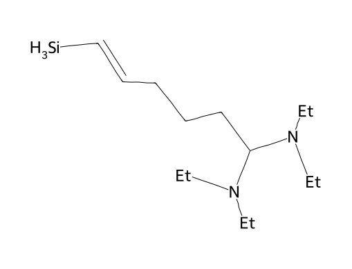 CCN(CC)C(CCCC=C[SiH3])N(CC)CC